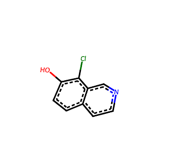 Oc1ccc2ccncc2c1Cl